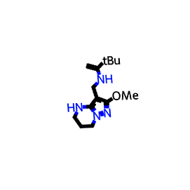 C=C(NCc1c(OC)nn2c1NCCC2)C(C)(C)C